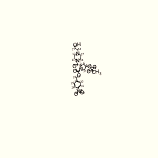 CS(=O)(=O)O[C@@H]1C[C@@H](C(=O)N2CCN(CCO)CC2)N(C(=O)OCc2ccc([N+](=O)[O-])cc2)C1